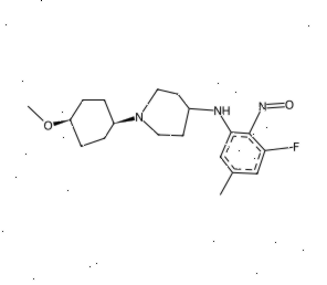 CO[C@H]1CC[C@@H](N2CCC(Nc3cc(C)cc(F)c3N=O)CC2)CC1